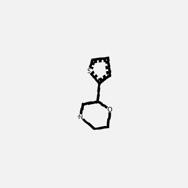 c1csc(C2C[N]CCO2)c1